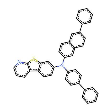 c1ccc(-c2ccc(N(c3ccc4cc(-c5ccccc5)ccc4c3)c3ccc4c(c3)sc3ncccc34)cc2)cc1